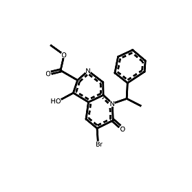 COC(=O)c1ncc2c(cc(Br)c(=O)n2C(C)c2ccccc2)c1O